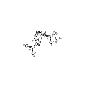 N.N.N.N.O=[N+]([O-])[O-].O=[N+]([O-])[O-].[Ni+2]